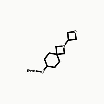 CCCC(C)OC1CCC2(CC1)CN(C1COC1)C2